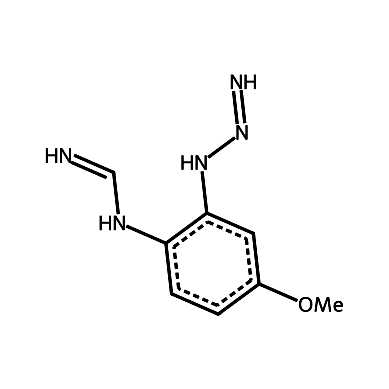 COc1ccc(NC=N)c(NN=N)c1